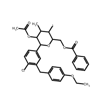 CCOc1ccc(Cc2cc(C3OC(COC(=O)c4ccccc4)C(I)C(C)C3OC(C)=O)ccc2Cl)cc1